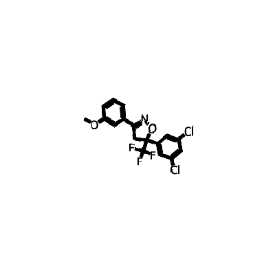 COc1cccc(C2=NOC(c3cc(Cl)cc(Cl)c3)(C(F)(F)F)C2)c1